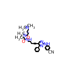 C[C@@H](C(=O)NCCCC#Cc1cnc(Nc2ccc(C#N)cc2)nc1C1C=CC=CC1)N(C)C(=O)/C=C/CN(C)C